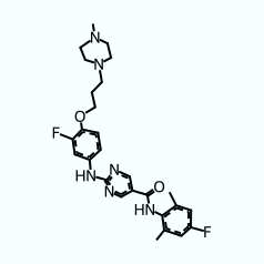 Cc1cc(F)cc(C)c1NC(=O)c1cnc(Nc2ccc(OCCCN3CCN(C)CC3)c(F)c2)nc1